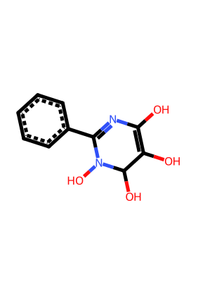 OC1=C(O)C(O)N(O)C(c2ccccc2)=N1